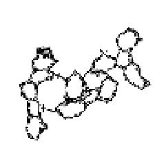 c1cc(-c2cnc3c4ccccc4c4ccccc4c3n2)cc(-n2c3ccccc3c3ccc4c5ccccc5n(-c5ccc6c(c5)oc5ccccc56)c4c32)c1